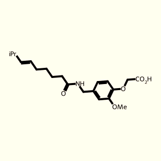 COc1cc(CNC(=O)CCCC/C=C/C(C)C)ccc1OCC(=O)O